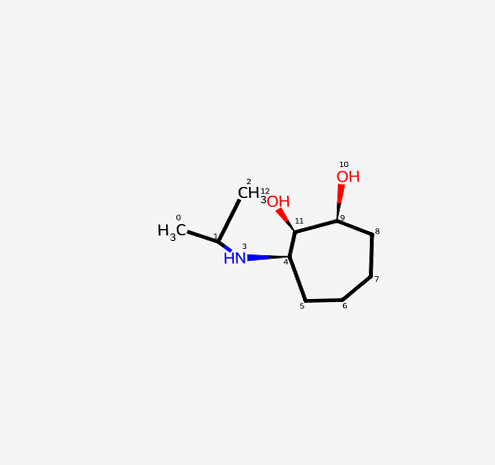 CC(C)N[C@@H]1CCCC[C@H](O)[C@@H]1O